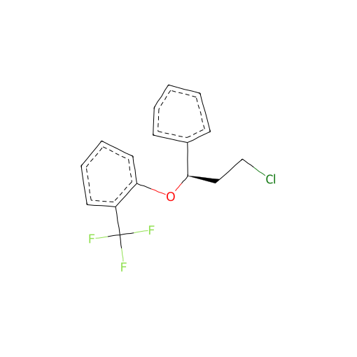 FC(F)(F)c1ccccc1O[C@H](CCCl)c1ccccc1